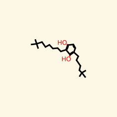 CC(C)(C)CCCCCCc1c(O)ccc(CCCCC(C)(C)C)c1O